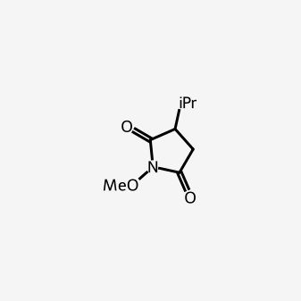 CON1C(=O)CC(C(C)C)C1=O